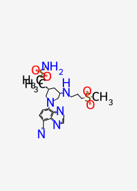 CS(N)(=O)=O.C[C@H]1C[C@@H](NCCCS(C)(=O)=O)CN(c2ccc(C#N)c3nccnc23)C1